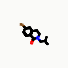 CC(C)CN1CCc2cc(Br)ccc2C1=O